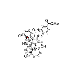 COC(=O)c1ccc(CN[C@@H]2C(CO)N(C3CCCCCC3)[C@@]3(C(=O)Nc4cc(Cl)ccc43)[C@H]2c2cccc(Cl)c2F)c([N+](=O)[O-])c1